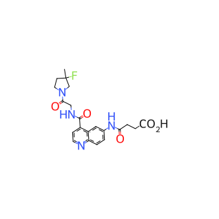 CC1(F)CCN(C(=O)CNC(=O)c2ccnc3ccc(NC(=O)CCC(=O)O)cc23)C1